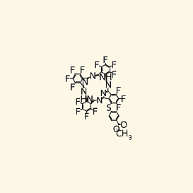 COC(=O)c1ccc(Sc2c(F)c(F)c(F)c3c2-c2nc-3nc3[nH]c(nc4nc(nc5[nH]c(n2)c2c(F)c(F)c(F)c(F)c52)-c2c(F)c(F)c(F)c(F)c2-4)c2c(F)c(F)c(F)c(F)c32)cc1